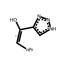 CCC/C=C(/O)c1c[nH]nn1